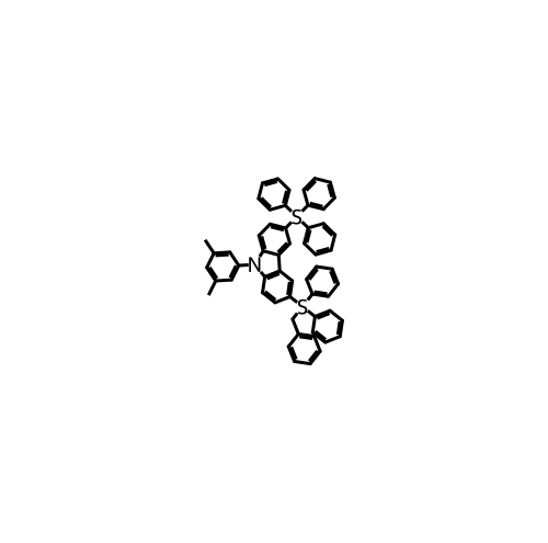 Cc1cc(C)cc(-n2c3ccc(S(Cc4ccccc4)(c4ccccc4)c4ccccc4)cc3c3cc(S(c4ccccc4)(c4ccccc4)c4ccccc4)ccc32)c1